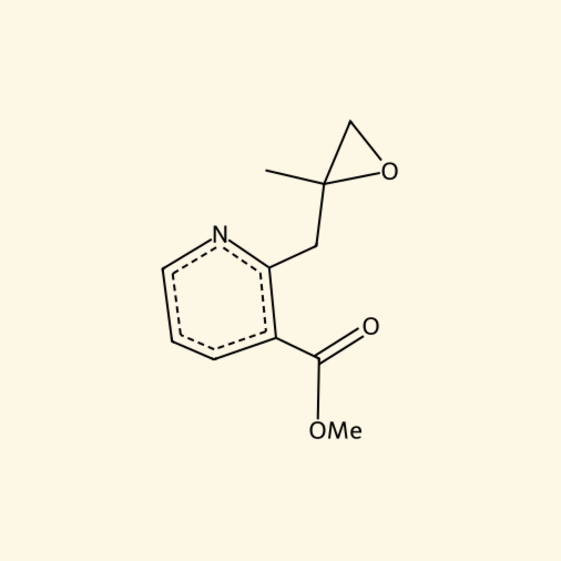 COC(=O)c1cccnc1CC1(C)CO1